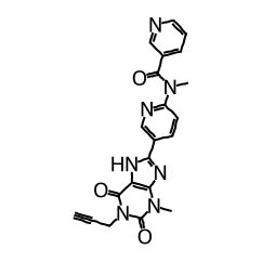 C#CCn1c(=O)c2[nH]c(-c3ccc(N(C)C(=O)c4cccnc4)nc3)nc2n(C)c1=O